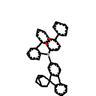 c1ccc(-c2ccc(N(c3ccc4c(c3)C3(CC5CCC3C5)c3ccccc3-4)c3ccccc3-c3ccccc3)cc2)cc1